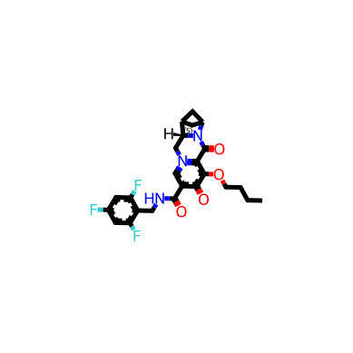 CCCCOc1c2n(cc(C(=O)NCc3c(F)cc(F)cc3F)c1=O)C[C@@H]1C3CC(C3)N1C2=O